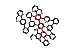 C=Nc1c(/C=C\C)cnc2cc(-c3ccccc3-c3cc(-c4ccccc4-c4ccc(-c5ccc(-c6ccccc6-c6cc(-c7ccccc7-c7ccc8c(c7)ncc7cccnc78)cc(-c7ccccc7-c7ccc8c(c7)ncc7cccnc78)c6)cn5)nc4)cc(-c4ccccc4-c4ccc5c(c4)ncc4cccnc45)c3)ccc12